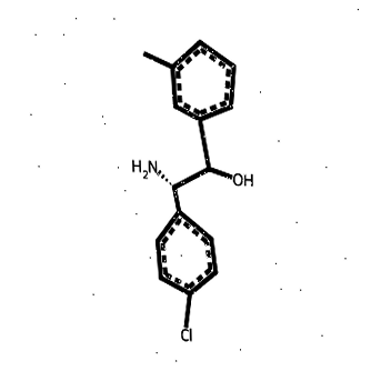 Cc1cccc(C(O)[C@@H](N)c2ccc(Cl)cc2)c1